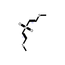 CS/C=C/S(=O)(=O)/C=C/SC